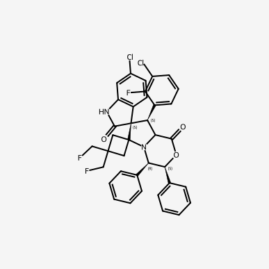 O=C1O[C@@H](c2ccccc2)[C@@H](c2ccccc2)N2C1[C@H](c1cccc(Cl)c1F)[C@@]1(C(=O)Nc3cc(Cl)ccc31)C21CC(CF)(CF)C1